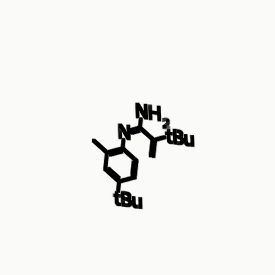 C=C(/C(N)=N\c1ccc(C(C)(C)C)cc1C)C(C)(C)C